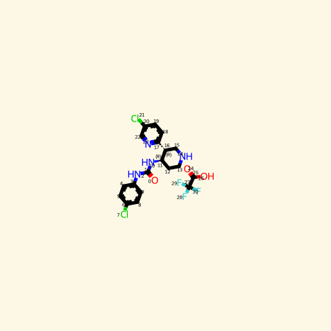 O=C(Nc1ccc(Cl)cc1)N[C@@H]1CCNC[C@H]1c1ccc(Cl)cn1.O=C(O)C(F)(F)F